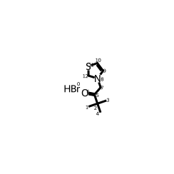 Br.CC(C)(C)C(=O)CN1C=CSC1